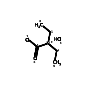 CCN(CC)C(=O)Cl.Cl